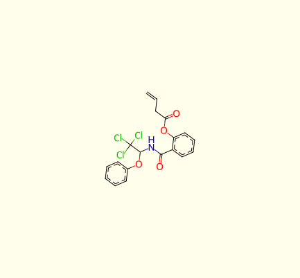 C=CCC(=O)Oc1ccccc1C(=O)NC(Oc1ccccc1)C(Cl)(Cl)Cl